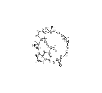 C[C@H]1Nc2nncc3c(cc(C4(C#N)CC4)cc23)CC(=O)NCCCN2CC(CCC(F)(F)c3cccc1c3)C2